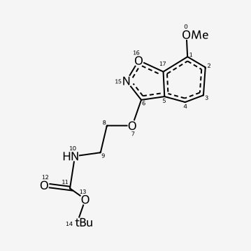 COc1cccc2c(OCCNC(=O)OC(C)(C)C)noc12